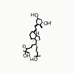 C=C1/C(=C\C=C2/CCC[C@]3(C)[C@@H]([C@@H](CCCC(C)(C)O)CCC(=O)C(C)(C)O)CC[C@@H]23)C[C@@H](O)C[C@@H]1O